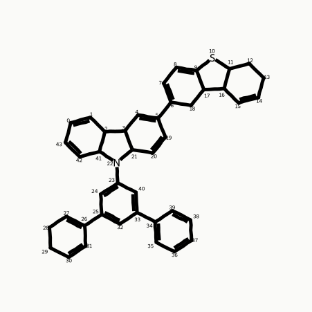 C1=CC2C3C=C(C4=CC=C5SC6CCC=CC6C5C4)C=CC3N(c3cc(C4=CCCC=C4)cc(-c4ccccc4)c3)C2C=C1